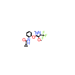 COc1c(C(F)(F)F)nn(C)c1Oc1ccccc1NC(=O)C1CC1